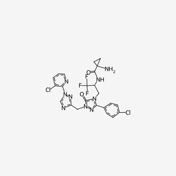 NC1(C(=O)NC(Cn2c(-c3ccc(Cl)cc3)nn(Cc3ncn(-c4ncccc4Cl)n3)c2=O)C(F)(F)F)CC1